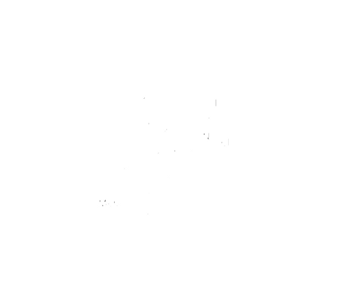 COc1ccc(C2CN(C)C(F)c3ccccc32)cc1F